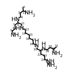 CC(N)CCNC(CCCN)CNCCCCCCNCC(CCCNN)NCCC(C)N